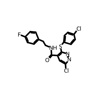 O=C(NCCc1ccc(F)cc1)c1cc(Cl)nnc1Sc1ccc(Cl)cc1